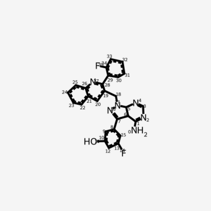 NC1=NC=NC2C1C(c1cc(O)cc(F)c1)=NN2Cc1cc2ccccc2nc1-c1ccccc1F